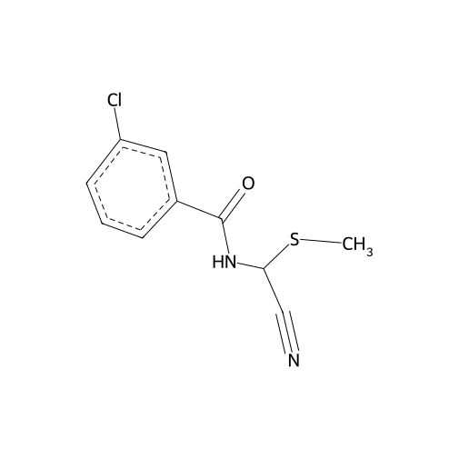 CSC(C#N)NC(=O)c1cccc(Cl)c1